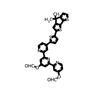 CC1(C)c2ccsc2-c2sc(-c3ccc(-c4ccnc(-c5cc(OC=O)cc(-c6cc(OC=O)ccn6)n5)c4)s3)cc21